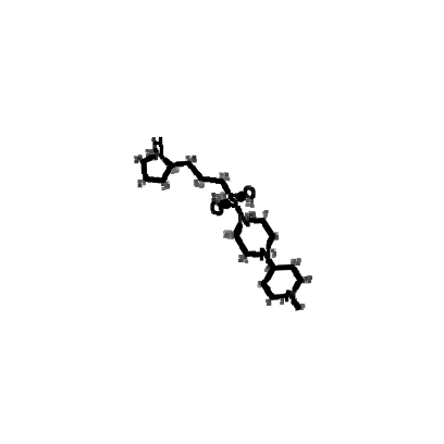 CN1CCC(N2CCN(S(=O)(=O)CCCC3CCCN3)CC2)CC1